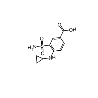 NS(=O)(=O)c1cc(C(=O)O)ccc1NC1CC1